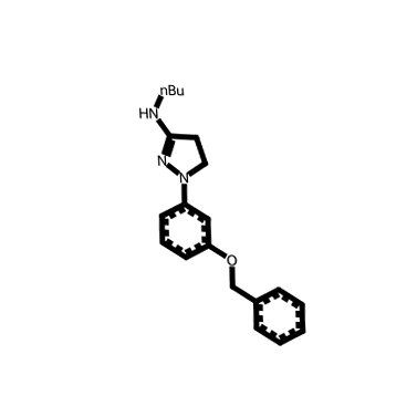 CCCCNC1=NN(c2cccc(OCc3ccccc3)c2)CC1